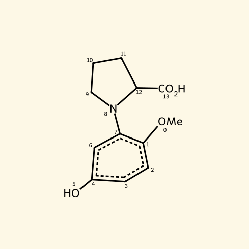 COc1ccc(O)cc1N1CCCC1C(=O)O